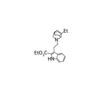 CCOC(=O)c1[nH]c2ccccc2c1CCN1CC2C=CC1C(CC)C2